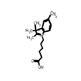 CC1=[N+](CCCCCC(=O)O)c2ccc(C)cc2C1(C)C